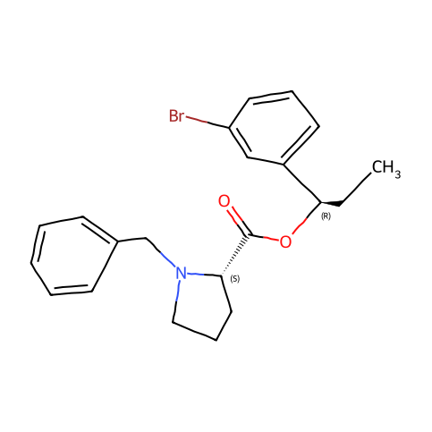 CC[C@@H](OC(=O)[C@@H]1CCCN1Cc1ccccc1)c1cccc(Br)c1